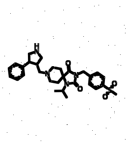 CC(C)N1C(=O)N(Cc2ccc(S(C)(=O)=O)cc2)C(=O)C12CCN(CC1CNCC1c1ccccc1)CC2